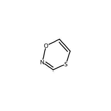 [C]1=NOC=CS1